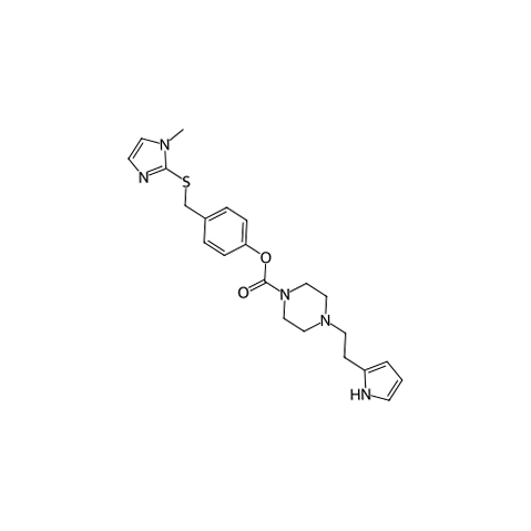 Cn1ccnc1SCc1ccc(OC(=O)N2CCN(CCc3ccc[nH]3)CC2)cc1